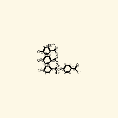 O=C([O-])c1ccc(Cl)cc1.O=C([O-])c1ccc(Cl)cc1.O=C([O-])c1ccc(Cl)cc1.O=C([O-])c1ccc(Cl)cc1.[Pb+4]